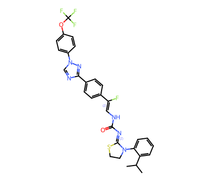 CC(C)c1ccccc1N1CCS/C1=N\C(=O)N/C=C(\F)c1ccc(-c2ncn(-c3ccc(OC(F)(F)F)cc3)n2)cc1